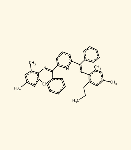 CCCc1cc(C)cc(C)c1/N=C(\c1ccccc1)c1cccc(/C(=N/c2c(C)cc(C)cc2Cl)c2ccccc2)n1